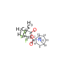 CC(C)(C)C(=O)OC1CCC2CCC1N(C(=O)CC(F)(F)F)C2